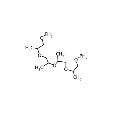 CC(COP)OCC(C)OC(C)COC(C)COP